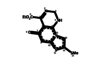 CCOC(=O)C1=NCNc2c1c(=O)cc1sc(SC)cn21